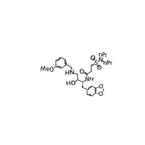 CCCN(CCC)S(=O)(=O)CCC(=O)N[C@@H](Cc1ccc2c(c1)OCO2)[C@@H](O)CNCc1cccc(OC)c1